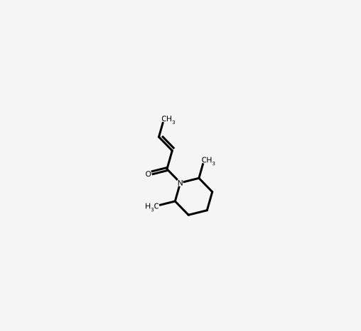 CC=CC(=O)N1C(C)CCCC1C